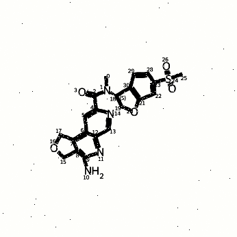 CN(C(=O)c1cc2c3c(c(N)nc2cn1)COC3)[C@@H]1COc2cc(S(C)(=O)=O)ccc21